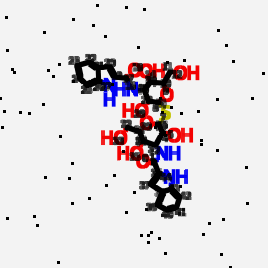 O=C(NC1C(O)[C@H](S[C@@H]2OC(CO)[C@H](O)[C@@H](NC(=O)c3cc4ccccc4[nH]3)C2O)OC(CO)[C@@H]1O)c1cc2ccccc2[nH]1